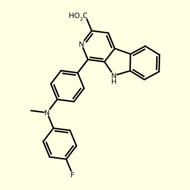 CN(c1ccc(F)cc1)c1ccc(-c2nc(C(=O)O)cc3c2[nH]c2ccccc23)cc1